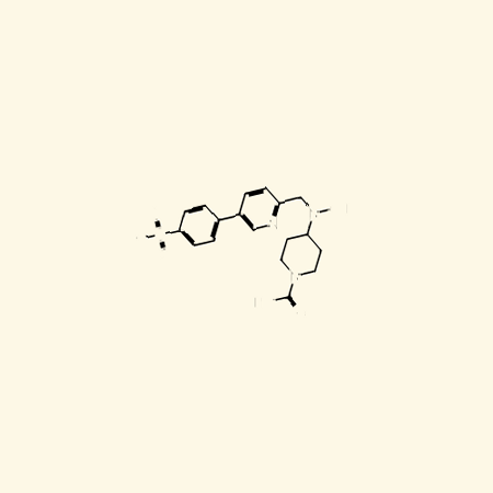 CN(Cc1ccc(-c2ccc(S(C)(=O)=O)cc2)cn1)C1CCN(C(=O)O)CC1